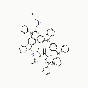 C=CC/C=C\CC(=C)N(c1ccccc1)c1ccc2c(c1)c1ccccc1n2/C(=C/C=C\C)C(C)C(=C)NC(CC1=C(n2c3ccccc3c3cc(-n4c5ccccc5c5ccccc54)ccc32)C=CCC=C1)/N=C(\N)c1ccccc1